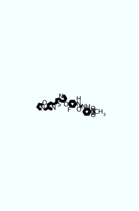 CS(=O)(=O)c1cccc(NC(=O)Nc2ccc(Oc3ccnc4cc(-c5ccc(CN6CCCC6=O)cn5)sc34)c(F)c2)c1